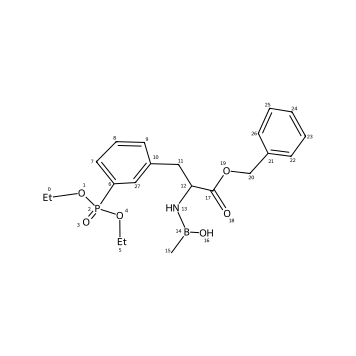 CCOP(=O)(OCC)c1cccc(CC(NB(C)O)C(=O)OCc2ccccc2)c1